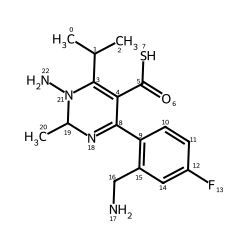 CC(C)C1=C(C(=O)S)C(c2ccc(F)cc2CN)=NC(C)N1N